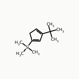 CC(C)(C)C1=CCC([Si](C)(C)C)=C1